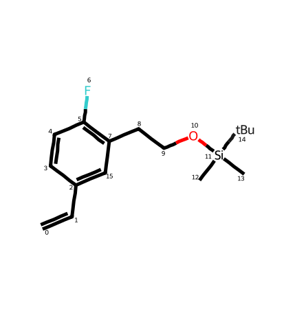 C=Cc1ccc(F)c(CCO[Si](C)(C)C(C)(C)C)c1